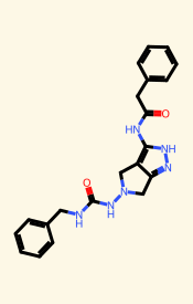 O=C(Cc1ccccc1)Nc1[nH]nc2c1CN(NC(=O)NCc1ccccc1)C2